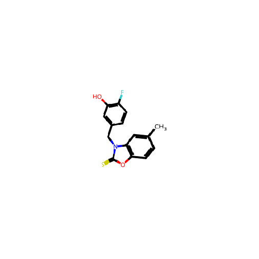 Cc1ccc2oc(=S)n(Cc3ccc(F)c(O)c3)c2c1